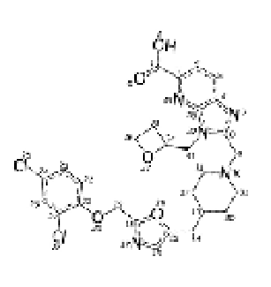 O=C(O)c1ccc2nc(CN3CCC(Cc4cnc(COc5ccc(Cl)cc5Cl)o4)CC3)n(C[C@@H]3CCO3)c2n1